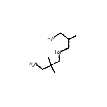 CC(CN)CNCC(C)(C)CN